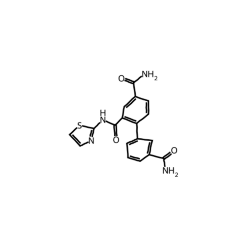 NC(=O)c1cccc(-c2ccc(C(N)=O)cc2C(=O)Nc2nccs2)c1